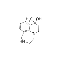 CC1(O)CCN2CCNCc3cccc1c32